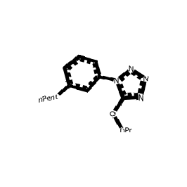 [CH2]CCCCc1cccc(-n2nnnc2OCCC)c1